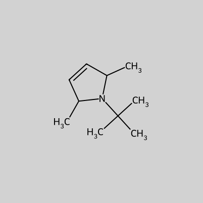 CC1C=CC(C)N1C(C)(C)C